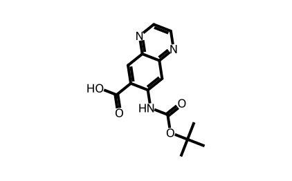 CC(C)(C)OC(=O)Nc1cc2nccnc2cc1C(=O)O